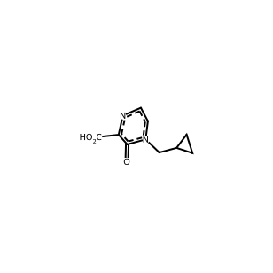 O=C(O)c1nccn(CC2CC2)c1=O